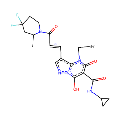 CC(C)Cn1c(=O)c(C(=O)NC2CC2)c(O)n2ncc(/C=C/C(=O)N3CCC(F)(F)CC3C)c12